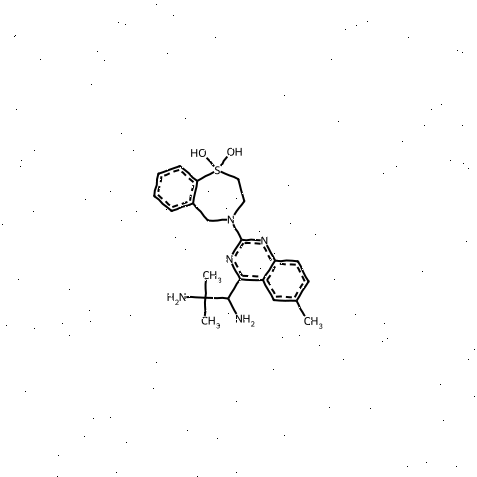 Cc1ccc2nc(N3CCS(O)(O)c4ccccc4C3)nc(C(N)C(C)(C)N)c2c1